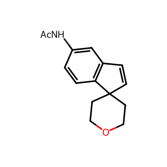 CC(=O)Nc1ccc2c(c1)C=CC21CCOCC1